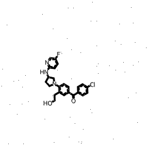 O=C(c1ccc(Cl)cc1)c1ccc(N2CCC(Nc3ccc(F)cn3)C2)c(CCO)c1